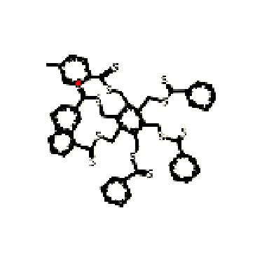 Cc1ccc(C(=S)SCc2c(CSC(=S)c3ccccc3)c(CSC(=S)c3ccccc3)c(CSC(=S)c3ccccc3)c(CSC(=S)c3ccccc3)c2CSC(=S)c2ccccc2)cc1